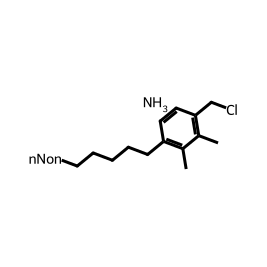 CCCCCCCCCCCCCCc1ccc(CCl)c(C)c1C.N